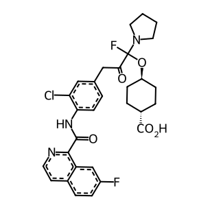 O=C(Nc1ccc(CC(=O)C(F)(O[C@H]2CC[C@H](C(=O)O)CC2)N2CCCC2)cc1Cl)c1nccc2ccc(F)cc12